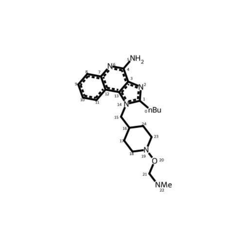 CCCCc1nc2c(N)nc3ccccc3c2n1CC1CCN(OCNC)CC1